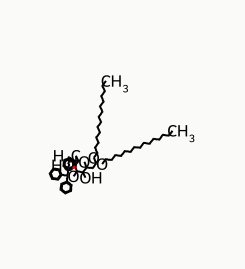 CCCCCCCCCCCCCCCOC(CC(O)C(O)C(OC(c1ccccc1)(c1ccccc1)c1ccccc1)C(O)CC)OCCCCCCCCCCCCCCC